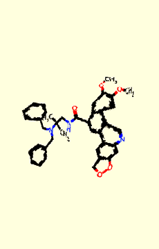 COc1cc2c(C(=O)NCC(C)(C)N(Cc3ccccc3)Cc3ccccc3)cc3c4cc5c(cc4ncc3c2cc1OC)OOC5